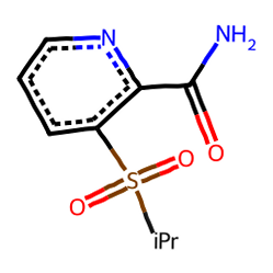 CC(C)S(=O)(=O)c1cccnc1C(N)=O